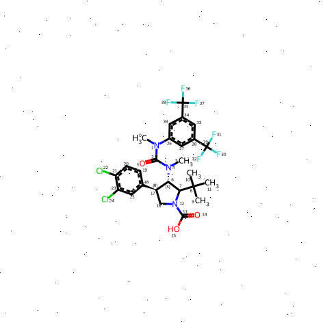 CN(C(=O)N(C)[C@@H]1C(C(C)(C)C)N(C(=O)O)C[C@H]1c1ccc(Cl)c(Cl)c1)c1cc(C(F)(F)F)cc(C(F)(F)F)c1